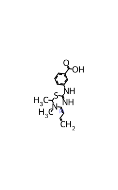 C=C/C=C\N(C)C(C)SC(=N)Nc1cccc(C(=O)O)c1